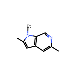 CCn1c(C)cc2cc(C)ncc21